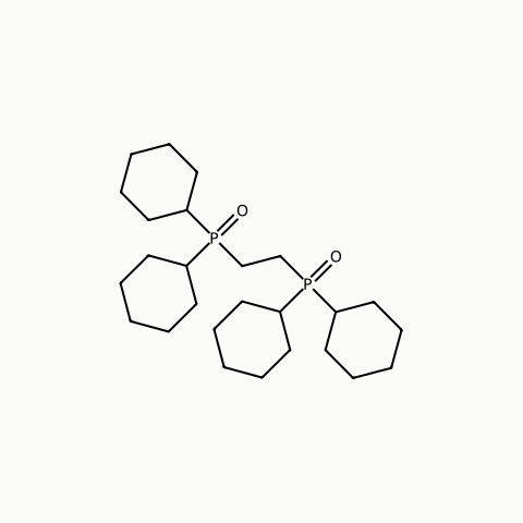 O=P(CCP(=O)(C1CCCCC1)C1CCCCC1)(C1CCCCC1)C1CCCCC1